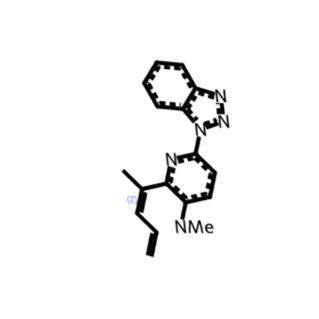 C=C/C=C(/C)c1nc(-n2nnc3ccccc32)ccc1NC